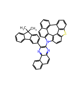 CC1(C)c2ccccc2-c2cc(-c3nc4c(ccc5ccccc54)nc3-n3c4ccc5cccc6c5c4c4c5c(ccc43)sc3cccc-6c35)ccc21